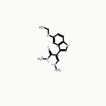 CCOc1ccc2scc(C(=COC)C(=O)OC)c2c1